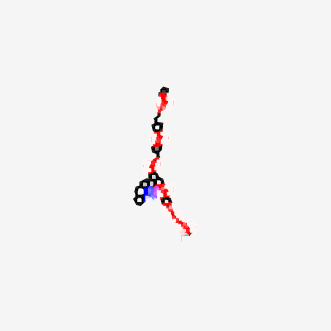 C=C(F)C(=O)OCCOCCOc1ccc(C(=O)Oc2ccc3cc(C(=O)OCCc4ccc(OC(=O)c5ccc(CCCCOC(=O)C6CC7C=CC6C7)cc5)cc4)ccc3c2/C=N/N=c2c3ccccc3ccc3ccccc23)cc1